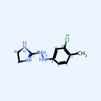 Cc1ccc(NNC2=NCCN2)cc1Cl